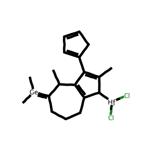 CC1=C(C2=CC=CC2)C2=C(CCC[C](=[Ge]([CH3])[CH3])C2C)[CH]1[Hf]([Cl])[Cl]